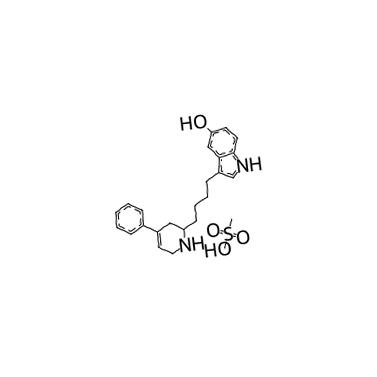 CS(=O)(=O)O.Oc1ccc2[nH]cc(CCCCC3CC(c4ccccc4)=CCN3)c2c1